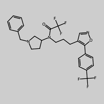 O=C(N(CCCc1cnoc1-c1ccc(C(F)(F)F)cc1)C1CCN(Cc2ccccc2)C1)C(F)(F)F